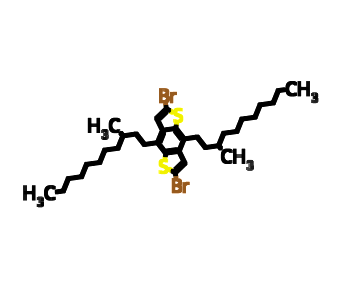 CCCCCCCCC(C)CCc1c2cc(Br)sc2c(CCC(C)CCCCCCCC)c2cc(Br)sc12